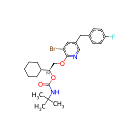 CC(C)(C)NC(=O)O[C@H](COc1ncc(Cc2ccc(F)cc2)cc1Br)C1CCCCC1